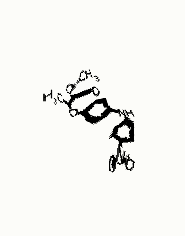 COC(=O)C(C)Oc1ccc(Nc2ccc([N+](=O)[O-])cc2)cc1